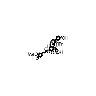 COc1cc(/C=C/C(=O)O[C@@H]2C[C@@H]3CN4CCc5c(n(C(C)C)c6cc(CO)ccc56)[C@H]4C[C@@H]3[C@H](C(=O)CO)[C@H]2OC)ccc1O